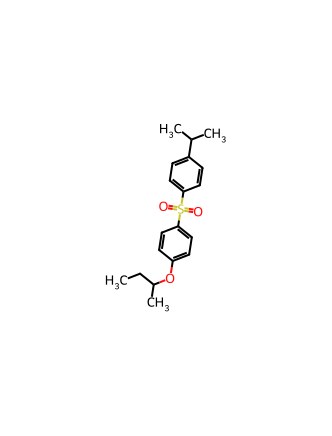 CCC(C)Oc1ccc(S(=O)(=O)c2ccc(C(C)C)cc2)cc1